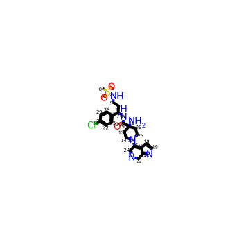 CS(=O)(=O)NCCC(NC(=O)C1(N)CCN(C2=C3C=CN=C3CN=C2)CC1)c1ccc(Cl)cc1